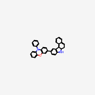 C1=c2ccccc2=C2c3cc(-c4ccc5c(c4)Oc4ccccc4N5c4ccccc4)ccc3NC2C1